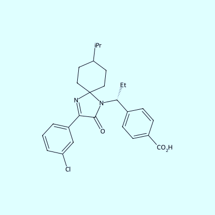 CC[C@H](c1ccc(C(=O)O)cc1)N1C(=O)C(c2cccc(Cl)c2)=NC12CCC(C(C)C)CC2